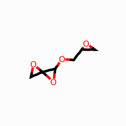 C1OC1COC1OC12CO2